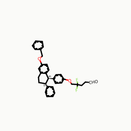 O=CCCC(F)(F)COc1ccc([C@@H]2c3ccc(OCc4ccccc4)cc3CC[C@@H]2c2ccccc2)cc1